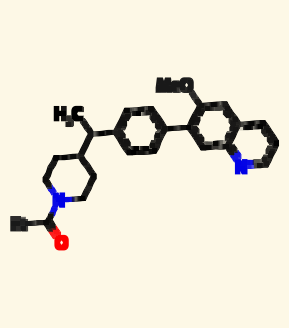 CCC(=O)N1CCC(C(C)c2ccc(-c3cc4ncccc4cc3OC)cc2)CC1